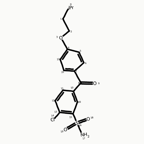 CC(C)CCOc1ccc(C(=O)c2ccc(Cl)c(S(N)(=O)=O)c2)cc1